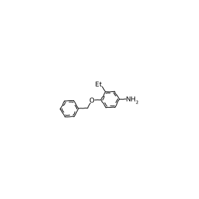 CCc1cc(N)ccc1OCc1ccccc1